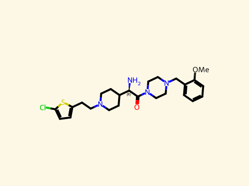 COc1ccccc1CN1CCN(C(=O)[C@H](N)C2CCN(CCc3ccc(Cl)s3)CC2)CC1